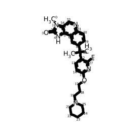 Cn1c(=O)[nH]c2c3cc(C(C)(C)c4ccc(OCCCN5CCCCC5)nc4F)ccc3ncc21